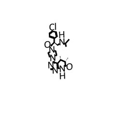 CC(C)NC[C@@H](C(=O)N1CCN(c2ncnc3c2[C@H](C)[C@H](C)C(=O)N3)CC1)c1ccc(Cl)cc1